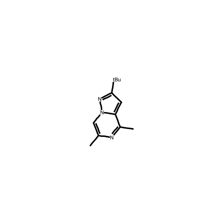 Cc1cn2nc(C(C)(C)C)cc2c(C)n1